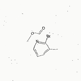 COC=O.Cc1cccnc1Br